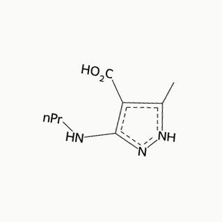 CCCNc1n[nH]c(C)c1C(=O)O